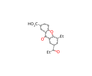 CCC(=O)c1cc(CC)c2oc3ccc(C(=O)O)cc3c(=O)c2c1